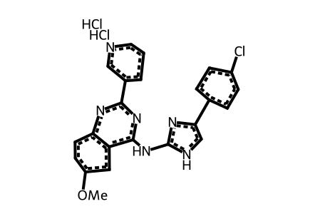 COc1ccc2nc(-c3cccnc3)nc(Nc3nc(-c4ccc(Cl)cc4)c[nH]3)c2c1.Cl.Cl